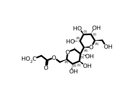 O=C(O)CC(=O)OC[C@H]1O[CH][C@@](O)([C@@H]2O[C@H](CO)[C@@H](O)[C@H](O)[C@H]2O)[C@@H](O)[C@@H]1O